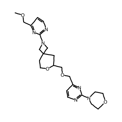 COCc1ccnc(N2CC3(CCOC(COCc4ccnc(N5CCOCC5)n4)C3)C2)n1